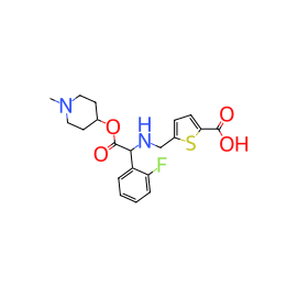 CN1CCC(OC(=O)C(NCc2ccc(C(=O)O)s2)c2ccccc2F)CC1